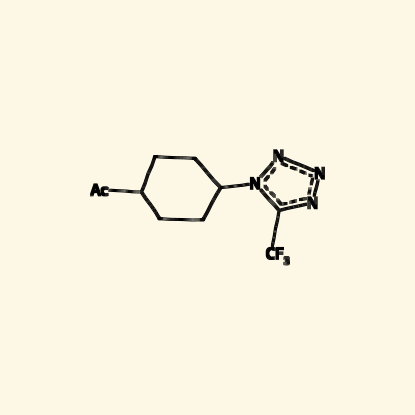 CC(=O)C1CCC(n2nnnc2C(F)(F)F)CC1